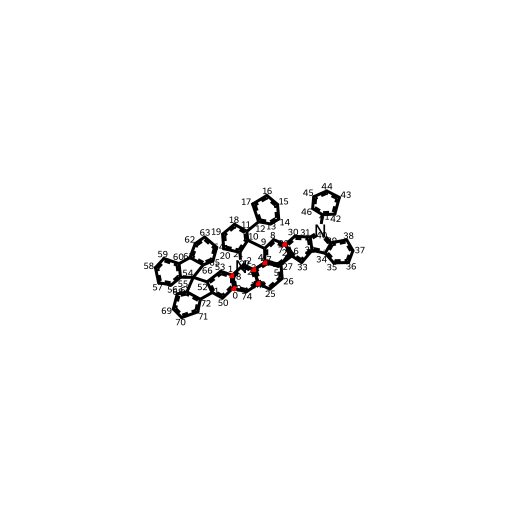 c1ccc(-c2ccccc2-c2c(-c3ccccc3)cccc2N(c2cccc(-c3ccc4c(c3)c3ccccc3n4-c3ccccc3)c2)c2ccc3c(c2)C2(c4ccccc4-c4ccccc42)c2ccccc2-3)cc1